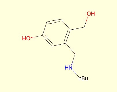 CCCCNCc1cc(O)ccc1CO